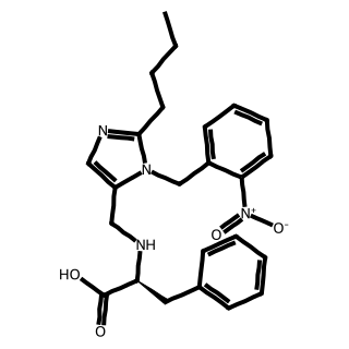 CCCCc1ncc(CN[C@@H](Cc2ccccc2)C(=O)O)n1Cc1ccccc1[N+](=O)[O-]